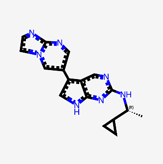 C[C@@H](Nc1ncc2c(-c3cnc4nccn4c3)c[nH]c2n1)C1CC1